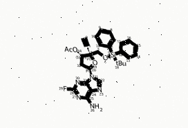 C#C[C@]1(CO[Si](c2ccccc2)(c2ccccc2)C(C)(C)C)O[C@@H](n2cnc3c(N)nc(F)nc32)C[C@@H]1OC(C)=O